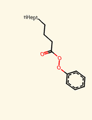 CCCCCCCCCCC(=O)OOc1ccccc1